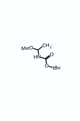 [CH2]C(NC(=O)OC(C)(C)C)OC